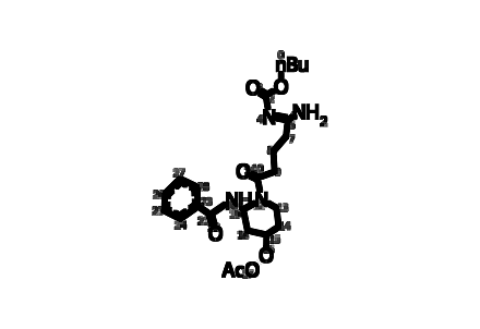 CCCCOC(=O)N=C(N)CCCC(=O)N1CCC(OOC(C)=O)CC1NC(=O)c1ccccc1